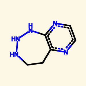 c1cnc2c(n1)CCNNN2